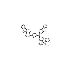 CC1(C)c2ccccc2-c2cc(N(c3ccc(-c4cccc5c4ccc4c6ccccc6oc54)cc3)c3ccc4c(c3)sc3ccccc34)ccc21